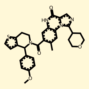 COc1ccc(C2c3ccsc3CCN2C(=O)c2cc3[nH]c(=O)c4cnc(C5CCOCC5)n4c3cc2C)cc1